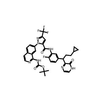 CC(C)(C)OC(=O)Nc1nccc2ccc(-n3nc(C(F)(F)F)cc3C(=O)Nc3cc(C(CCC4CC4)c4ncc[nH]c4=O)ccc3F)cc12